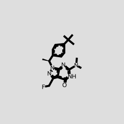 C[C@@H](c1ccc(C(C)(C)C)cc1)n1nc(CF)c2c(=O)[nH]c(N(C)C)nc21